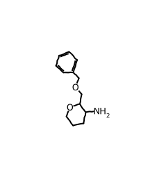 NC1CCCOC1COCc1ccccc1